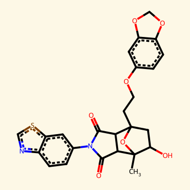 CC12OC(CCOc3ccc4c(c3)OCO4)(CC1O)C1C(=O)N(c3ccc4ncsc4c3)C(=O)C12